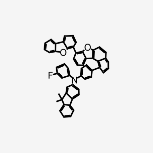 CC1(C)c2ccccc2-c2ccc(N(c3ccc(-c4cccc5ccc6oc7c(-c8cccc9c8oc8ccccc89)cccc7c6c45)cc3)c3cccc(F)c3)cc21